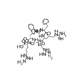 N=C(N)NCCC[C@H](NC(=O)[C@H](Cc1c[nH]c2ccccc12)NC(=O)[C@H](CCCNC(=N)N)NC(=O)[C@H](CCCNC(=N)N)NC(=O)[C@@H](N)Cc1ccccc1)C(=O)O